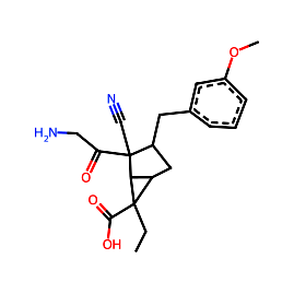 CCC1(C(=O)O)C2CC(Cc3cccc(OC)c3)C(C#N)(C(=O)CN)C21